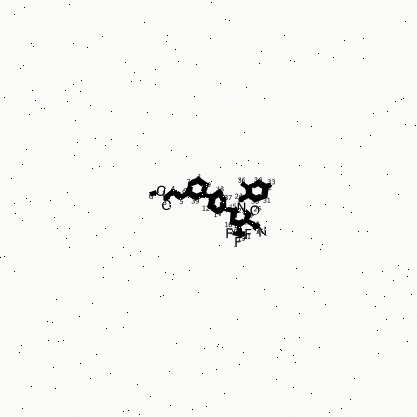 COC(=O)/C=C/c1cccc(-c2ccc(-c3cc(C(F)(F)F)c(C#N)c(=O)n3Cc3ccc(C)cc3C)cc2)c1